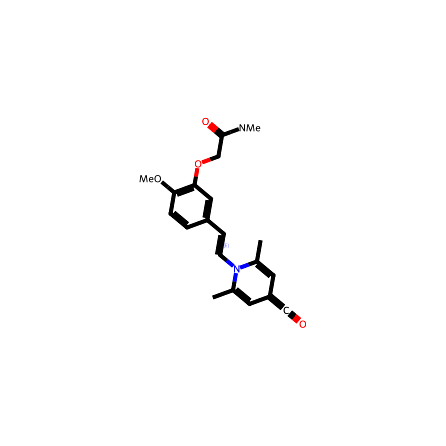 CNC(=O)COc1cc(/C=C/N2C(C)=CC(=C=O)C=C2C)ccc1OC